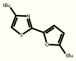 CC(C)(C)c1csc(-c2ccc(C(C)(C)C)o2)n1